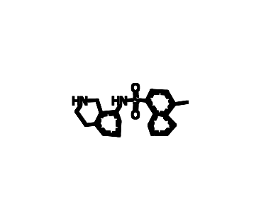 Cc1ccc(S(=O)(=O)Nc2cccc3c2CNCC3)c2ccccc12